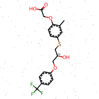 Cc1cc(SC[C@@H](O)COc2ccc(C(F)(F)F)cc2)ccc1OCC(=O)O